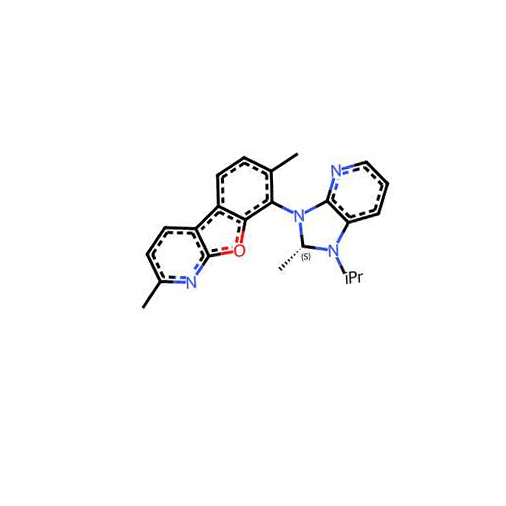 Cc1ccc2c(n1)oc1c(N3c4ncccc4N(C(C)C)[C@@H]3C)c(C)ccc12